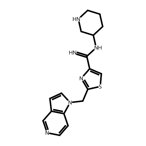 N=C(NC1CCCNC1)c1csc(Cn2ccc3cnccc32)n1